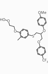 COc1ccc(OC(COc2ccc(C(F)(F)F)cc2)CSc2ccc(OCCOO)c(C)c2)cc1